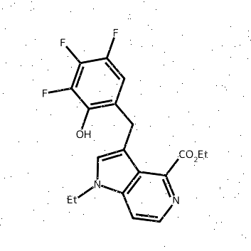 CCOC(=O)c1nccc2c1c(Cc1cc(F)c(F)c(F)c1O)cn2CC